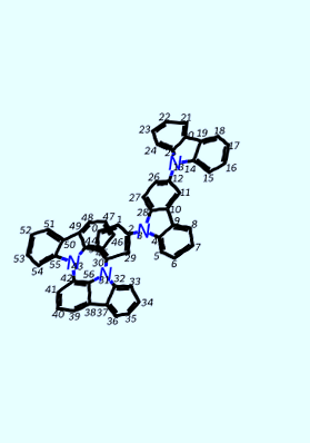 c1cc(-n2c3ccccc3c3cc(-n4c5ccccc5c5ccccc54)ccc32)cc(-n2c3ccccc3c3cccc(-n4c5ccccc5c5ccccc54)c32)c1